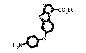 CCOC(=O)c1cnc2sc3cc(Sc4ccc(N)cc4)ccc3n12